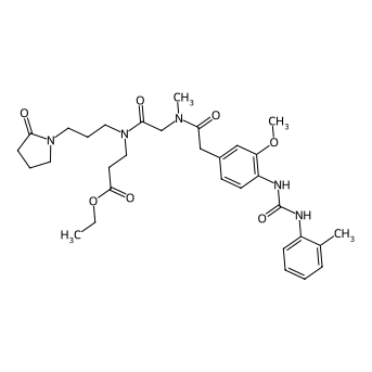 CCOC(=O)CCN(CCCN1CCCC1=O)C(=O)CN(C)C(=O)Cc1ccc(NC(=O)Nc2ccccc2C)c(OC)c1